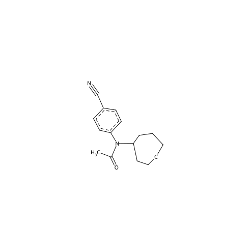 CC(=O)N(c1ccc(C#N)cc1)C1CCCCCC1